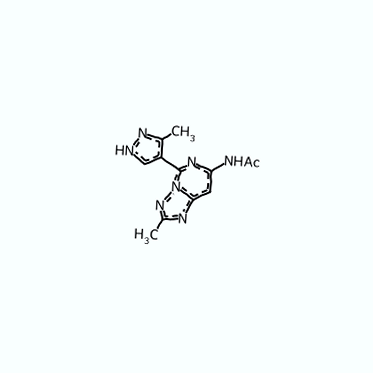 CC(=O)Nc1cc2nc(C)nn2c(-c2c[nH]nc2C)n1